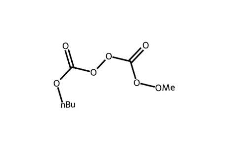 CCCCOC(=O)OOC(=O)OOC